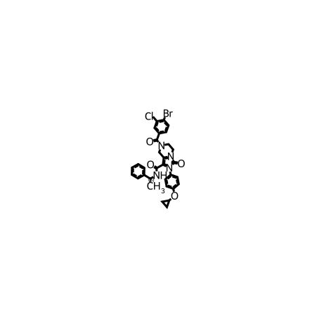 C[C@H](NC(=O)c1c2n(c(=O)n1-c1ccc(OC3CC3)cc1)CCN(C(=O)c1ccc(Br)c(Cl)c1)C2)c1ccccc1